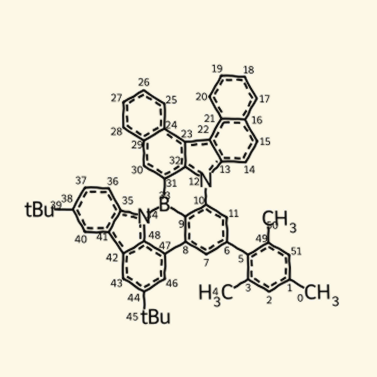 Cc1cc(C)c(-c2cc3c4c(c2)-n2c5ccc6ccccc6c5c5c6ccccc6cc(c52)B4n2c4ccc(C(C)(C)C)cc4c4cc(C(C)(C)C)cc-3c42)c(C)c1